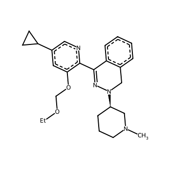 CCOCOc1cc(C2CC2)cnc1C1=NN([C@@H]2CCCN(C)C2)Cc2ccccc21